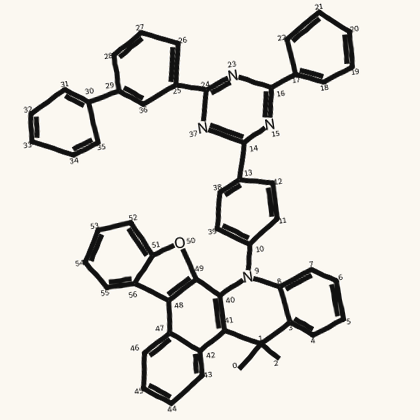 CC1(C)c2ccccc2N(c2ccc(-c3nc(-c4ccccc4)nc(-c4cccc(-c5ccccc5)c4)n3)cc2)c2c1c1ccccc1c1c2oc2ccccc21